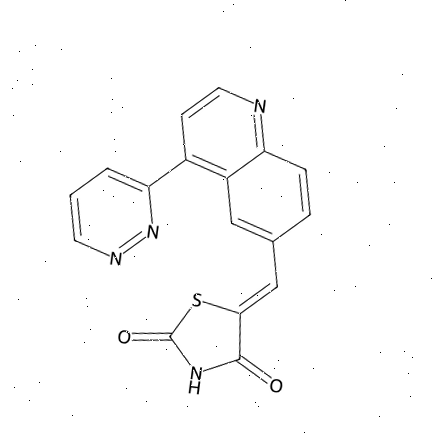 O=C1NC(=O)C(=Cc2ccc3nccc(-c4cccnn4)c3c2)S1